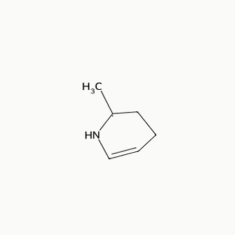 C[C]1CCC=CN1